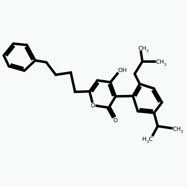 CC(C)Cc1ccc(C(C)C)cc1-c1c(O)cc(CCCCc2ccccc2)oc1=O